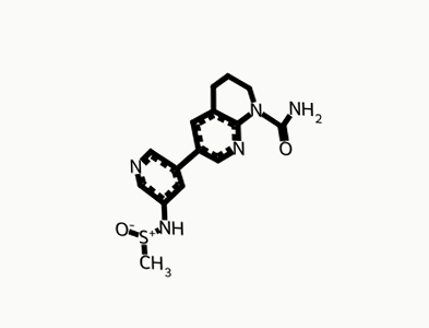 C[S+]([O-])Nc1cncc(-c2cnc3c(c2)CCCN3C(N)=O)c1